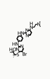 C[C@@H](O)[C@@H](C)Sc1nc(Nc2ccc(Nc3nccc(NCCN(C)C)n3)cc2)ncc1Br